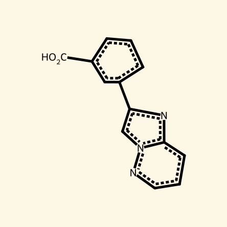 O=C(O)c1cccc(-c2cn3ncccc3n2)c1